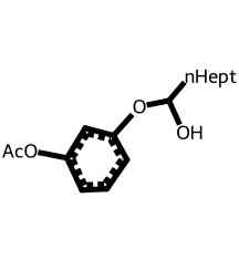 CCCCCCCC(O)Oc1cccc(OC(C)=O)c1